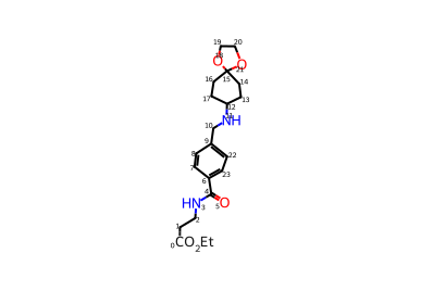 CCOC(=O)CCNC(=O)c1ccc(CNC2CCC3(CC2)OCCO3)cc1